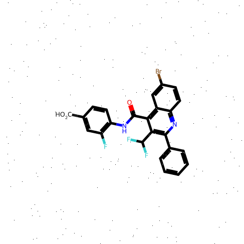 O=C(O)c1ccc(NC(=O)c2c(C(F)F)c(-c3ccccc3)nc3ccc(Br)cc23)c(F)c1